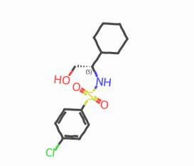 O=S(=O)(N[C@H](CO)C1CCCCC1)c1ccc(Cl)cc1